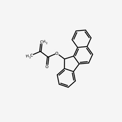 C=C(C)C(=O)OC1c2ccccc2-c2ccc3ccccc3c21